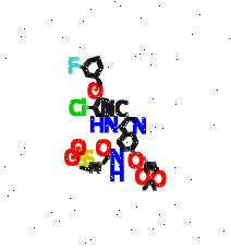 CC1(C)OC[C@@H](COc2cc3ncc(C#N)c(Nc4ccc(OCc5cccc(F)c5)c(Cl)c4)c3cc2NC(=O)C[C@@H]2CCS(=O)(=O)S2)O1